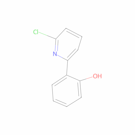 Oc1ccccc1-c1cccc(Cl)n1